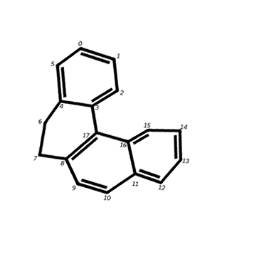 c1ccc2c(c1)CCc1ccc3ccccc3c1-2